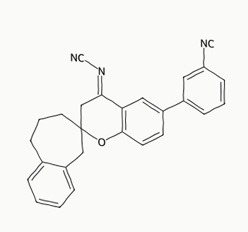 [C-]#[N+]c1cccc(-c2ccc3c(c2)/C(=N/C#N)CC2(CCCc4ccccc4C2)O3)c1